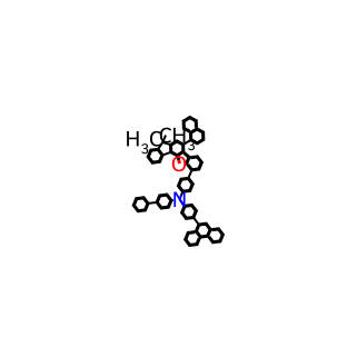 CC1(C)c2ccccc2-c2c1cc(-c1cccc3ccccc13)c1c2oc2c(-c3ccc(N(c4ccc(-c5ccccc5)cc4)c4ccc(-c5cc6ccccc6c6ccccc56)cc4)cc3)cccc21